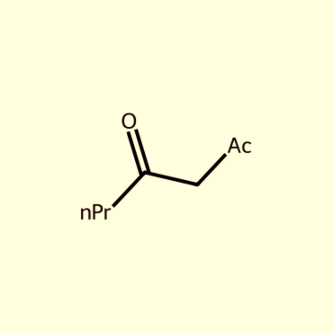 C[CH]CC(=O)CC(C)=O